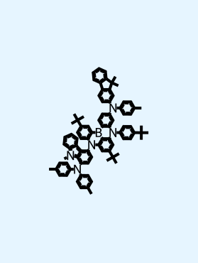 Cc1ccc(N(c2ccc3c(c2)N(c2ccc(C(C)(C)C)cc2)c2cc(C(C)(C)C)cc4c2B3c2cc(C(C)(C)C)ccc2N4c2ccc(N(c3ccc(C)cc3)c3ccc(C)cc3)c3c2c2ccccc2n3C)c2ccc3c(c2)C(C)(C)c2ccccc2-3)cc1